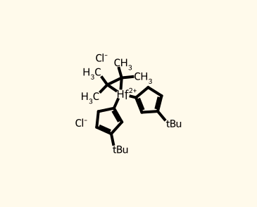 CC(C)(C)C1=CC[C]([Hf+2]2([C]3=CC(C(C)(C)C)=CC3)[C](C)(C)[C]2(C)C)=C1.[Cl-].[Cl-]